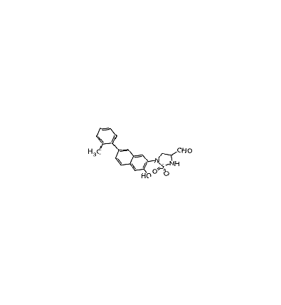 Cc1ccccc1-c1ccc2cc(O)c(N3CC(C=O)NS3(=O)=O)cc2c1